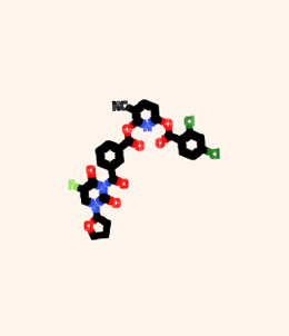 N#Cc1ccc(OC(=O)c2ccc(Cl)cc2Cl)nc1OC(=O)c1cccc(C(=O)n2c(=O)c(F)cn(C3CCCO3)c2=O)c1